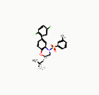 C[C@@H](C[C@H]1CN(S(=O)(=O)c2cccc(C(F)(F)F)c2)c2cc(-c3cc(F)ccc3F)ccc2O1)C(=O)O